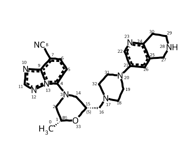 C[C@@H]1CN(c2ccc(C#N)c3ncnn23)C[C@H](CN2CCN(c3cnc4c(c3)CNCC4)CC2)O1